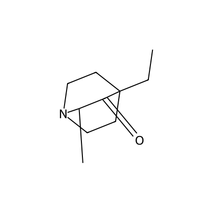 CCC12CCN(CC1)C(C)C2=O